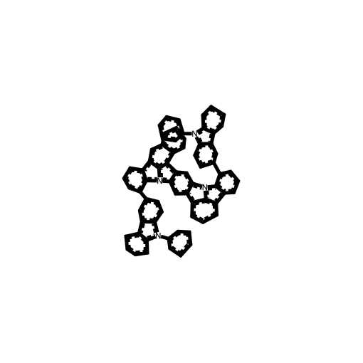 c1ccc(-n2c3ccccc3c3cc(-c4cccc5c6cccc7c8cc9c(cc8n(c45)c76)c4c5ccccc5cc5c6cccc(-c7ccc8c(c7)c7ccccc7n8-c7ccccc7)c6n9c54)ccc32)cc1